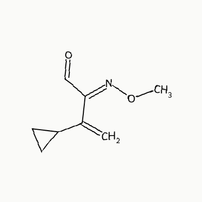 C=C(/C(C=O)=N\OC)C1CC1